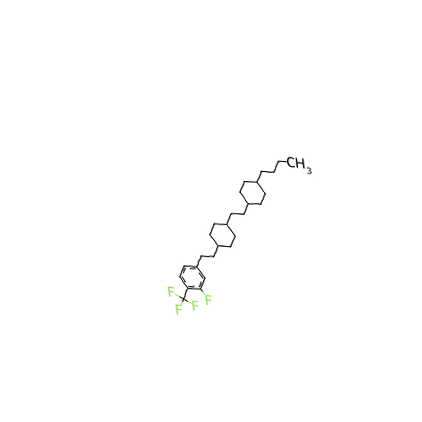 CCCCC1CCC(CCC2CCC(CCc3ccc(C(F)(F)F)c(F)c3)CC2)CC1